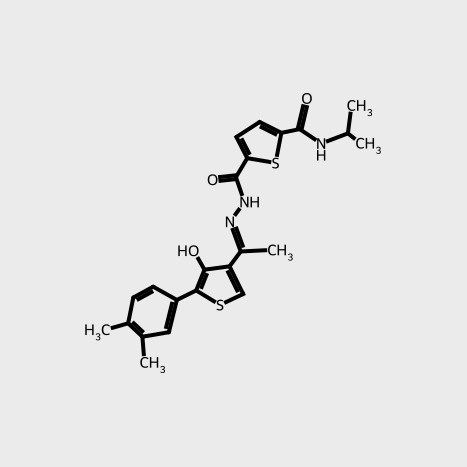 CC(=NNC(=O)c1ccc(C(=O)NC(C)C)s1)c1csc(-c2ccc(C)c(C)c2)c1O